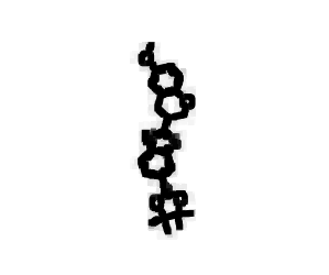 COc1ccc2c(c1)CC(c1nc3ccc(B4OC(C)(C)C(C)(C)O4)cc3s1)CO2